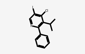 CC(C)c1c(-c2ccccc2)ncc(I)c1Cl